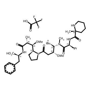 CC[C@H](C)[C@@H]([C@@H](CC(=O)N1CCC[C@H]1[C@H](OC)[C@@H](C)C(=O)N[C@@H](Cc1ccccc1)C(=O)O)OC)N(C)C(=O)[C@@H](NC(=O)[C@@]1(C)CCCCN1)C(C)C.O=C(O)C(F)(F)F